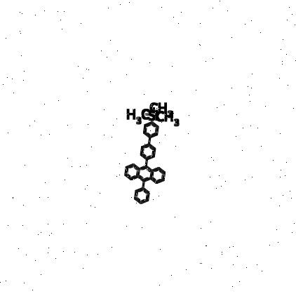 C[Si](C)(C)c1ccc(-c2ccc(-c3c4ccccc4c(-c4ccccc4)c4ccccc34)cc2)cc1